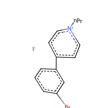 CCC[n+]1ccc(-c2cccc(Br)c2)cc1.[I-]